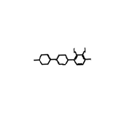 Cc1ccc(C2CCC(C3CCC(C)CC3)CC2)c(I)c1I